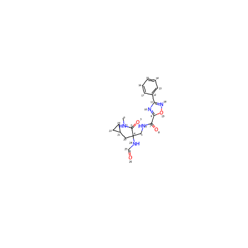 CNC(=O)C(CNC(=O)c1nc(-c2ccccc2)no1)(CC1CC1)NC=O